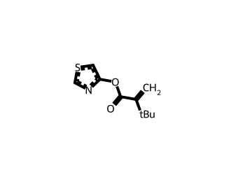 C=C(C(=O)Oc1cscn1)C(C)(C)C